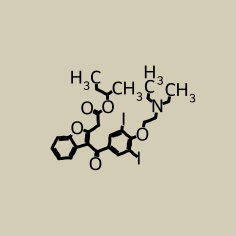 CCC(C)OC(=O)Cc1oc2ccccc2c1C(=O)c1cc(I)c(OCCN(CC)CC)c(I)c1